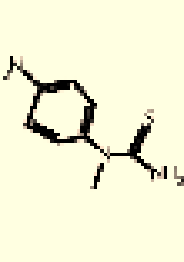 CN(C(N)=S)c1ccc(N)cc1